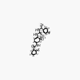 CC(NC(=S)NC1=CC=C(NC(=O)c2ccccc2F)CC1(C)Cl)c1ccc(F)cc1